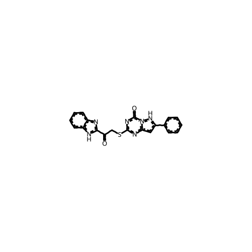 O=C(CSc1nc(=O)n2[nH]c(-c3ccccc3)cc2n1)c1nc2ccccc2[nH]1